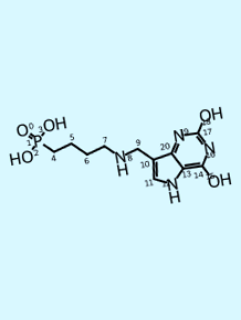 O=P(O)(O)CCCCNCc1c[nH]c2c(O)nc(O)nc12